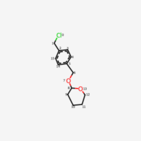 ClCc1ccc(COC2CCCCO2)cc1